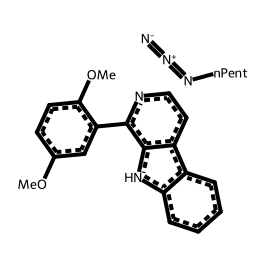 CCCCCN=[N+]=[N-].COc1ccc(OC)c(-c2nccc3c2[nH]c2ccccc23)c1